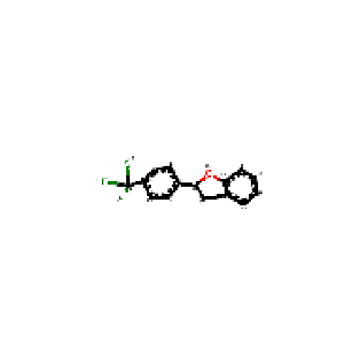 FC(F)(F)c1ccc(C2Cc3ccccc3O2)cc1